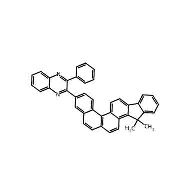 CC1(C)c2ccccc2-c2ccc3c(ccc4ccc5cc(-c6nc7ccccc7nc6-c6ccccc6)ccc5c43)c21